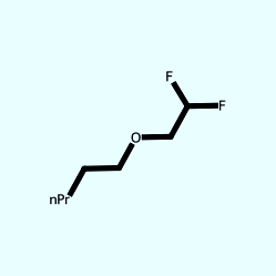 [CH2]CCCCOCC(F)F